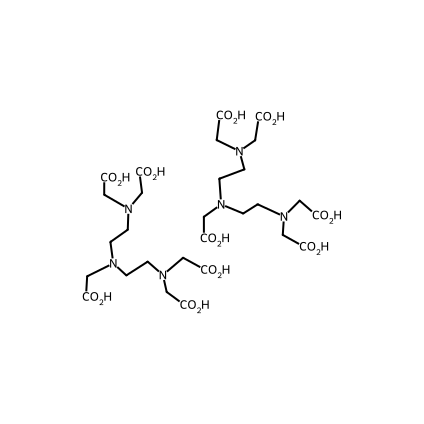 O=C(O)CN(CCN(CC(=O)O)CC(=O)O)CCN(CC(=O)O)CC(=O)O.O=C(O)CN(CCN(CC(=O)O)CC(=O)O)CCN(CC(=O)O)CC(=O)O